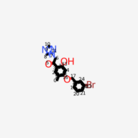 Cc1cc(C(=O)Cn2cncn2)c(O)cc1OCc1cccc(Br)c1